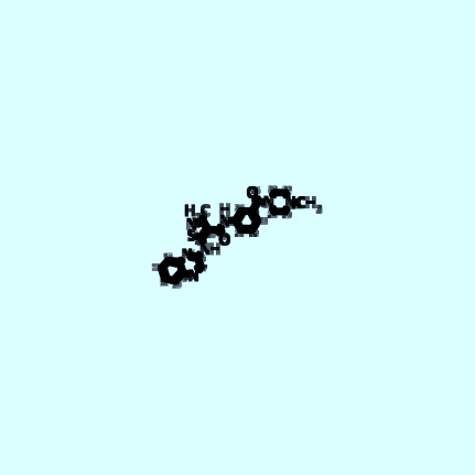 Cc1nsc(Nc2cnc3ccccc3n2)c1C(=O)Nc1cccc(C(=O)N2CCN(C)CC2)c1